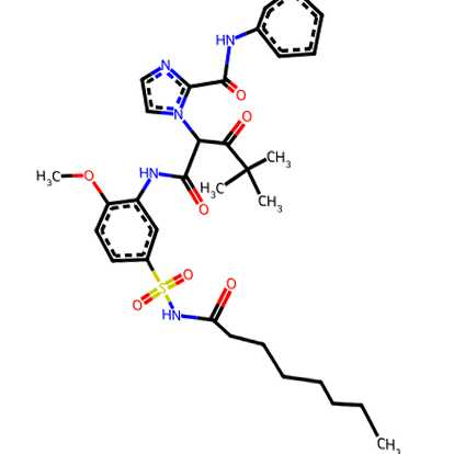 CCCCCCCC(=O)NS(=O)(=O)c1ccc(OC)c(NC(=O)C(C(=O)C(C)(C)C)n2ccnc2C(=O)Nc2ccccc2)c1